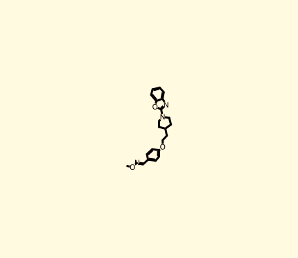 CON=Cc1ccc(OCCC2CCN(c3nc4ccccc4o3)CC2)cc1